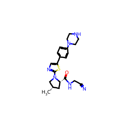 C[C@H]1C[C@@H](C(=O)NCC#N)N(c2ncc(-c3ccc(N4CCNCC4)cc3)s2)C1